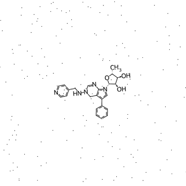 C[C@H]1O[C@@H](n2cc(-c3ccccc3)c3c2N=CN(NCc2ccncc2)C3)[C@H](O)[C@@H]1O